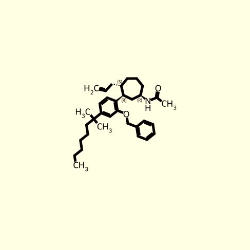 C=CC[C@@H]1CCC[C@@H](NC(C)=O)C[C@H]1c1ccc(C(C)(C)CCCCCC)cc1OCc1ccccc1